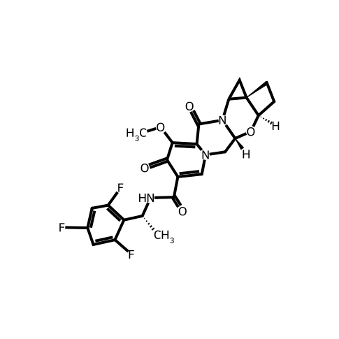 COc1c2n(cc(C(=O)N[C@H](C)c3c(F)cc(F)cc3F)c1=O)C[C@H]1O[C@@H]3CC[C@@]34CC4N1C2=O